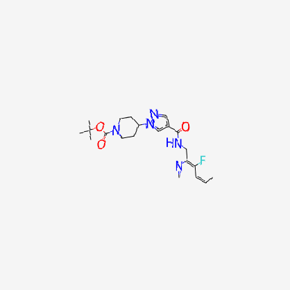 C=N/C(CNC(=O)c1cnn(C2CCN(C(=O)OC(C)(C)C)CC2)c1)=C(F)\C=C/C